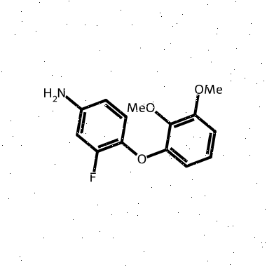 COc1cccc(Oc2ccc(N)cc2F)c1OC